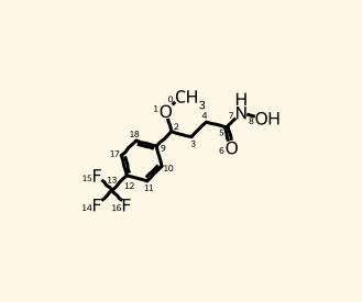 COC(CCC(=O)NO)c1ccc(C(F)(F)F)cc1